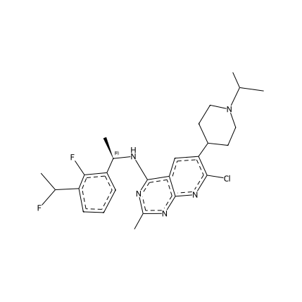 Cc1nc(N[C@H](C)c2cccc(C(C)F)c2F)c2cc(C3CCN(C(C)C)CC3)c(Cl)nc2n1